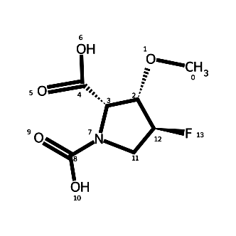 CO[C@H]1[C@@H](C(=O)O)N(C(=O)O)C[C@@H]1F